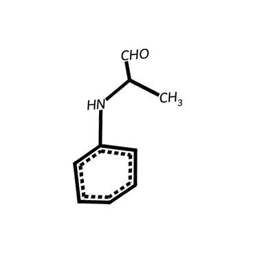 CC(C=O)Nc1ccccc1